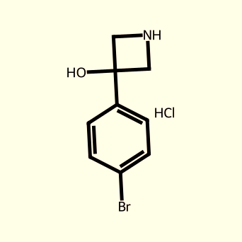 Cl.OC1(c2ccc(Br)cc2)CNC1